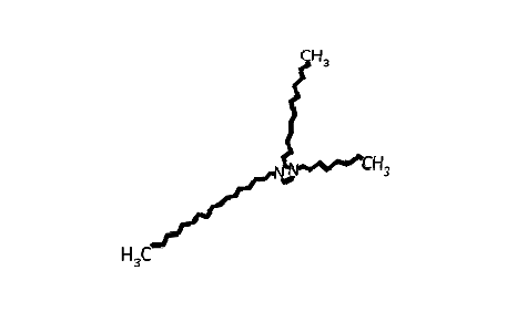 CCCCCCCCCCCCCCCCCCN1C=CN(CCCCCCCC)C1CCCCCCCCCCCCC